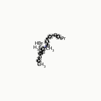 Br.C/C(=C\C(=O)N1CCN(Cc2ccc(CCOc3ccc(C(C)C)cc3)cc2)CC1)c1cc(C)c(Oc2ccc(OCc3ccc(C)cc3)cn2)c(Cl)c1